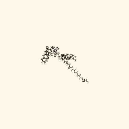 CCCCCCCCCCCCOCCC(NC(=O)CCC(=O)O[C@]1(CC)C(=O)OCc2c1cc1n(c2=O)Cc2cc3ccccc3nc2-1)C(=O)OC(C)(C)C